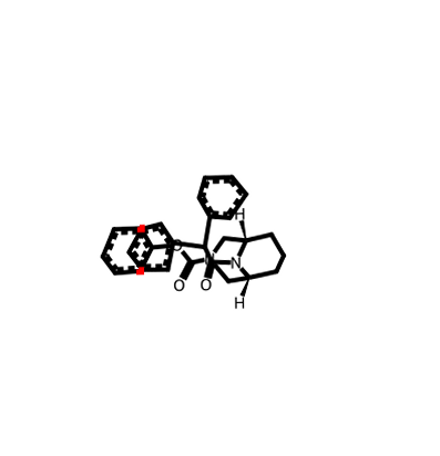 O=C(Oc1ccccc1)N1C[C@H]2CCC[C@@H](C1)N2C(=O)C(c1ccccc1)c1ccccc1